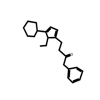 CCC1C(CCC(=O)Cc2ccccc2)=CC=C1C1CCCCC1